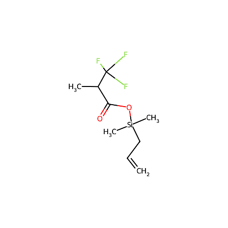 C=CC[Si](C)(C)OC(=O)C(C)C(F)(F)F